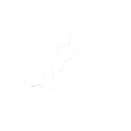 COc1ccc(C[N+](C)(C)c2ccccc2C)cc1.[F-].[F-].[F-].[F-].[F-].[F-].[Sb+5]